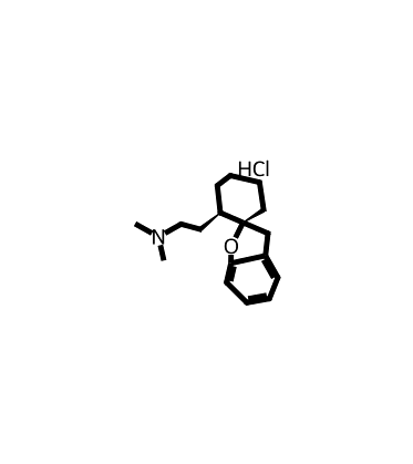 CN(C)CC[C@H]1CCCC[C@]12Cc1ccccc1O2.Cl